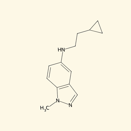 Cn1ncc2cc(NCCC3CC3)ccc21